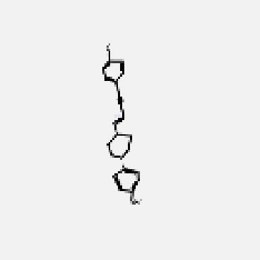 CCCc1ccc([C@H]2CC[C@H](/C=C/C#Cc3ccc(Cl)cc3)CC2)cc1